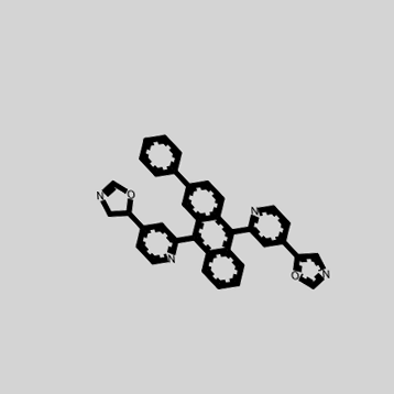 C1=NCC(c2ccnc(-c3c4ccccc4c(-c4cc(-c5cnco5)ccn4)c4ccc(-c5ccccc5)cc34)c2)O1